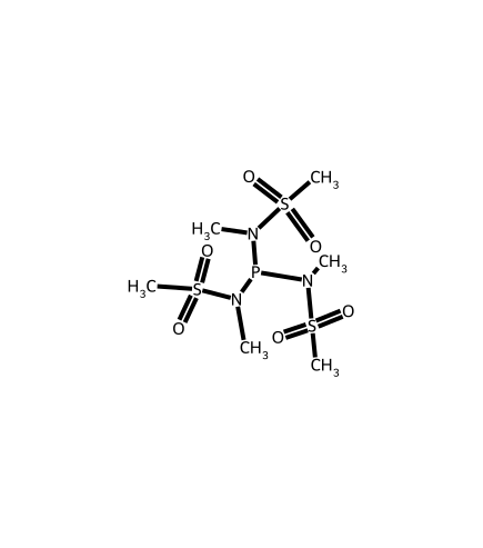 CN(P(N(C)S(C)(=O)=O)N(C)S(C)(=O)=O)S(C)(=O)=O